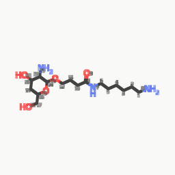 NCCCCCCNC(=O)CCCOC1OC(CO)CC(O)C1N